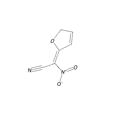 N#CC(=C1C=CCO1)[N+](=O)[O-]